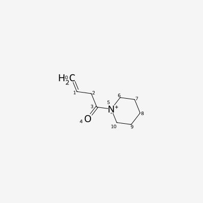 C=CCC(=O)[N+]1CCCCC1